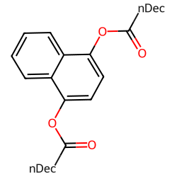 CCCCCCCCCCC(=O)Oc1ccc(OC(=O)CCCCCCCCCC)c2ccccc12